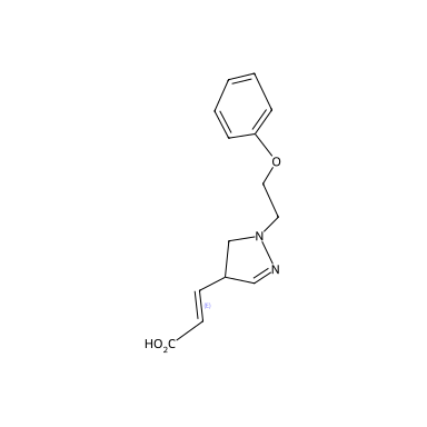 O=C(O)/C=C/C1C=NN(CCOc2ccccc2)C1